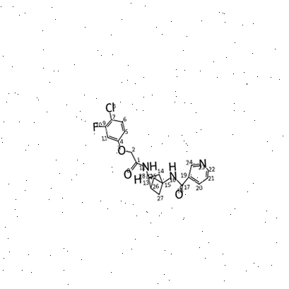 O=C(COc1ccc(Cl)c(F)c1)N[C@H]1CC2(NC(=O)c3cccnc3)CC1C2